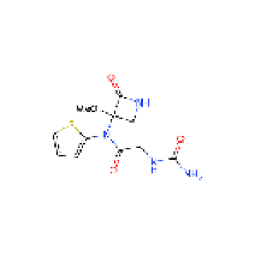 COC1(N(C(=O)CNC(N)=O)c2cccs2)CNC1=O